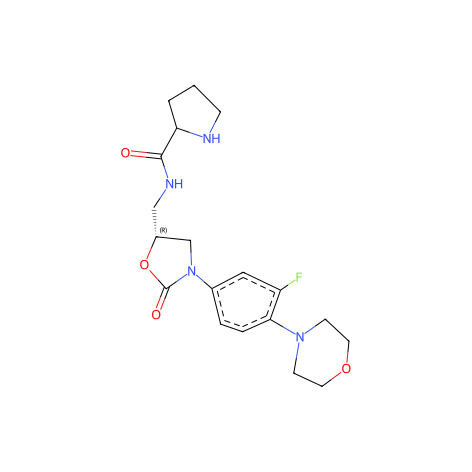 O=C(NC[C@@H]1CN(c2ccc(N3CCOCC3)c(F)c2)C(=O)O1)C1CCCN1